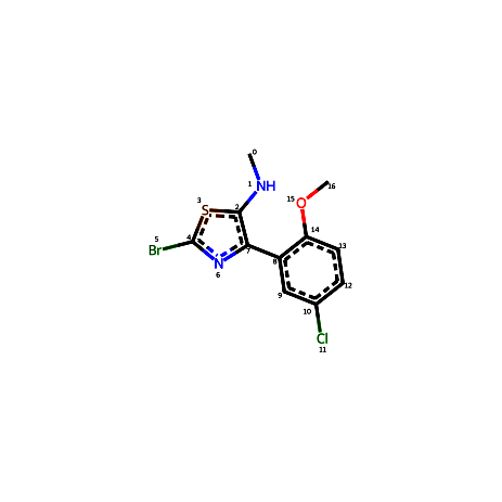 CNc1sc(Br)nc1-c1cc(Cl)ccc1OC